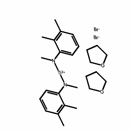 C1CCOC1.C1CCOC1.Cc1cccc([N](C)[Ti+2][N](C)c2cccc(C)c2C)c1C.[Br-].[Br-]